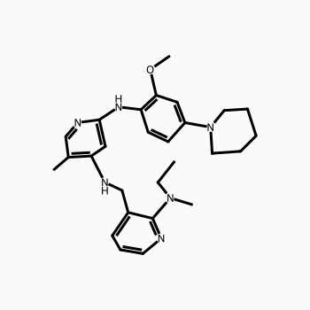 CCN(C)c1ncccc1CNc1cc(Nc2ccc(N3CCCCC3)cc2OC)ncc1C